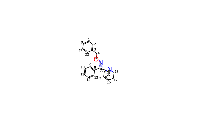 c1ccc(CO/N=C(\c2ccccc2)C2CC3CCN2CC3)cc1